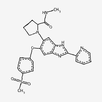 CNC(=O)C1CCCN1c1cc2[nH]c(-c3ccccn3)nc2cc1Oc1ccc(S(C)(=O)=O)cc1